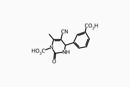 CC1=C(C#N)C(c2cccc(C(=O)O)c2)NC(=O)N1C(=O)O